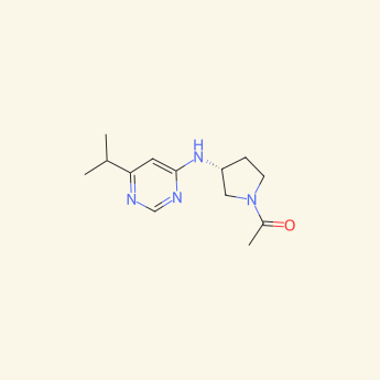 CC(=O)N1CC[C@@H](Nc2cc(C(C)C)ncn2)C1